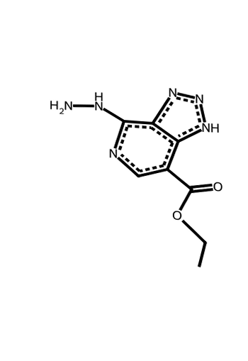 CCOC(=O)c1cnc(NN)c2nn[nH]c12